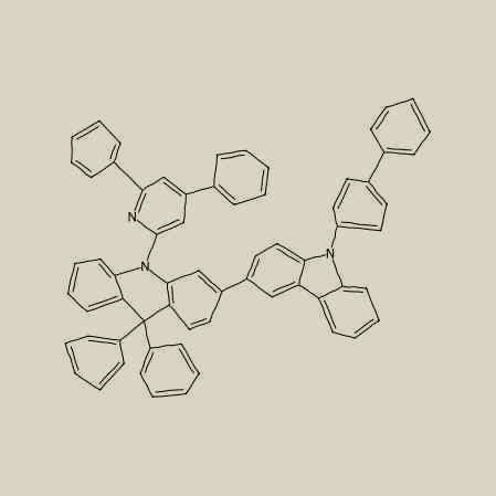 c1ccc(-c2ccc(-n3c4ccccc4c4cc(-c5ccc6c(c5)N(c5cc(-c7ccccc7)cc(-c7ccccc7)n5)c5ccccc5C6(c5ccccc5)c5ccccc5)ccc43)cc2)cc1